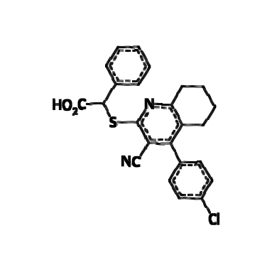 N#Cc1c(SC(C(=O)O)c2ccccc2)nc2c(c1-c1ccc(Cl)cc1)CCCC2